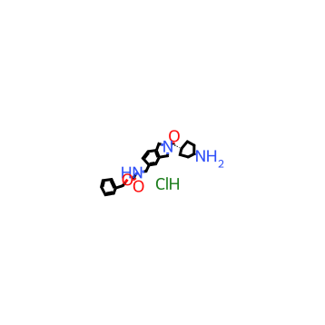 Cl.N[C@H]1CC[C@H](C(=O)N2Cc3ccc(CNC(=O)OCc4ccccc4)cc3C2)CC1